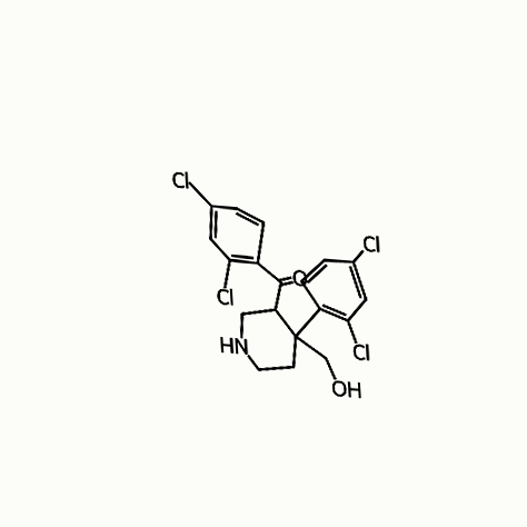 O=C(c1ccc(Cl)cc1Cl)C1CNCCC1(CO)c1ccc(Cl)cc1Cl